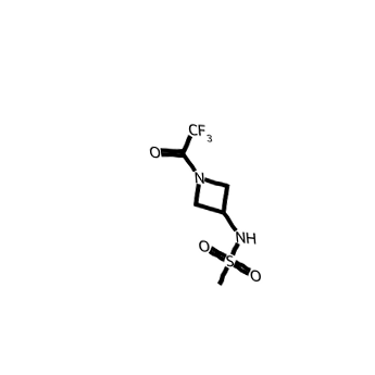 CS(=O)(=O)NC1CN(C(=O)C(F)(F)F)C1